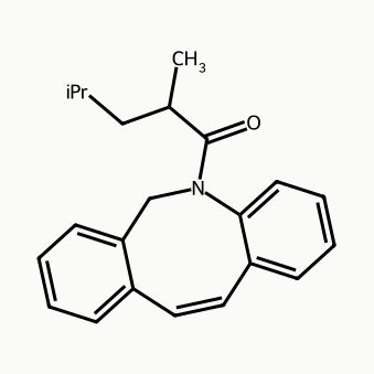 CC(C)CC(C)C(=O)N1Cc2ccccc2/C=C\c2ccccc21